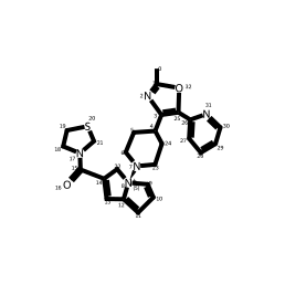 Cc1nc(C2CCN([N@@+]34C=CC=C3C=C(C(=O)N3CCSC3)C4)CC2)c(-c2ccccn2)o1